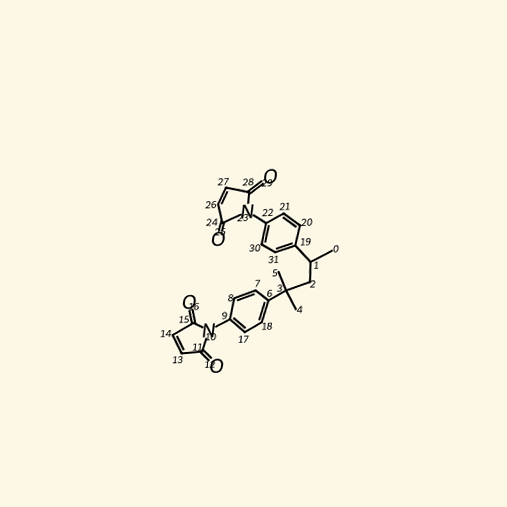 CC(CC(C)(C)c1ccc(N2C(=O)C=CC2=O)cc1)c1ccc(N2C(=O)C=CC2=O)cc1